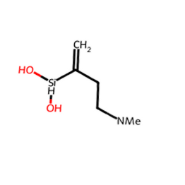 C=C(CCNC)[SiH](O)O